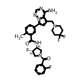 Cc1ccc(-c2cc(CN3CCC(F)(F)CC3)c3c(N)ncnn23)cc1C(=O)N[C@@H]1CN(C(=O)c2ccccc2F)C[C@@H]1F